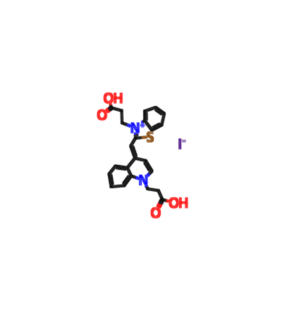 O=C(O)CCN1C=CC(=Cc2sc3ccccc3[n+]2CCC(=O)O)c2ccccc21.[I-]